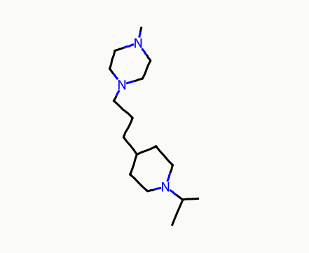 CC(C)N1CCC(CCCN2CCN(C)CC2)CC1